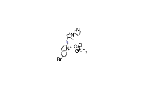 Cc1cc(/C=C/c2ccc3cc(Br)ccc3[n+]2C)c(C)n1-c1cccnc1.O=S(=O)([O-])C(F)(F)F